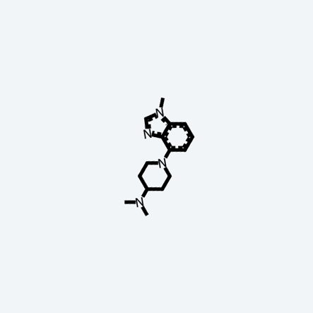 CN(C)C1CCN(c2cccc3c2ncn3C)CC1